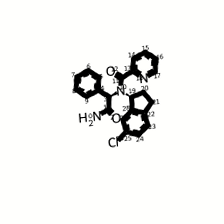 NC(=O)[C@@H](c1ccccc1)N(C(=O)c1ccccn1)[C@@H]1CCc2ccc(Cl)cc21